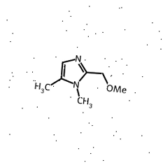 COCc1ncc(C)n1C